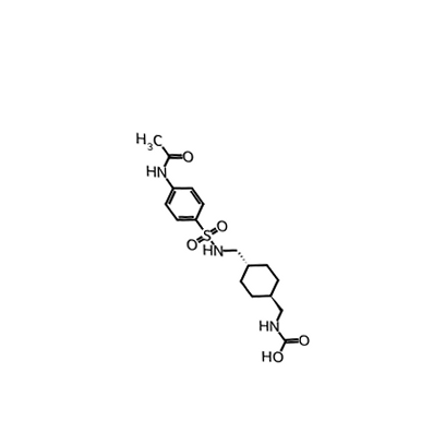 CC(=O)Nc1ccc(S(=O)(=O)NC[C@H]2CC[C@H](CNC(=O)O)CC2)cc1